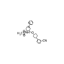 CS(=O)(=O)NC1CCN(c2ccccn2)CC1COC1CCC(c2cccc(C#N)c2)CC1